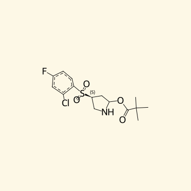 CC(C)(C)C(=O)OC1C[C@H](S(=O)(=O)c2ccc(F)cc2Cl)CN1